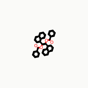 O=C(O/C(=C(/OC(=O)c1ccccc1)c1cccc2ccccc12)c1cccc2ccccc12)c1ccccc1